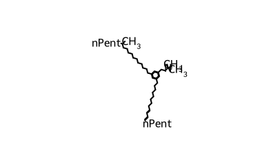 CCCCC/C=C/C=C/CCCCCCCCc1cc(CCCCCCCCCCCC(C)CCCCC)cc(CCN(C)C)c1